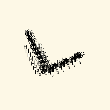 CCCn1cc[n+](C)c1C.CCCn1cc[n+](C)c1C.CCCn1cc[n+](C)c1C.CCCn1cc[n+](C)c1C.CCCn1cc[n+](C)c1C.CCCn1cc[n+](C)c1C.CCCn1cc[n+](C)c1C.CCCn1cc[n+](C)c1C.CCCn1cc[n+](C)c1C.CCCn1cc[n+](C)c1C.CCCn1cc[n+](C)c1C.CCCn1cc[n+](C)c1C.O=P([O-])([O-])F.O=P([O-])([O-])F.O=P([O-])([O-])F.O=P([O-])([O-])F.O=P([O-])([O-])F.O=P([O-])([O-])F